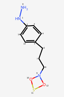 NNc1ccc(CCCN2OSO2)cc1